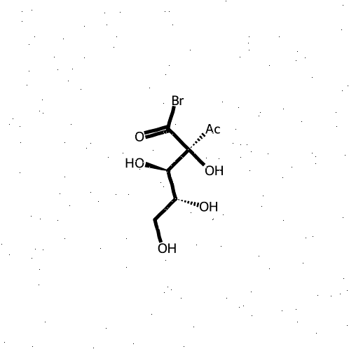 CC(=O)[C@@](O)(C(=O)Br)[C@H](O)[C@H](O)CO